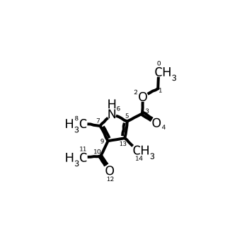 CCOC(=O)c1[nH]c(C)c(C(C)=O)c1C